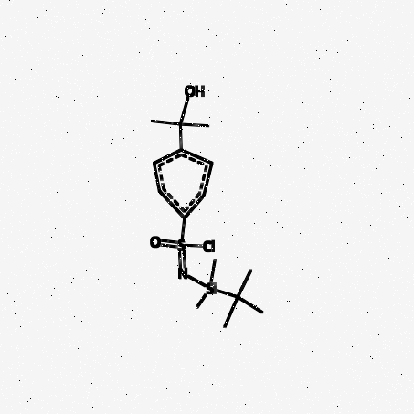 CC(C)(O)c1ccc(S(=O)(Cl)=N[Si](C)(C)C(C)(C)C)cc1